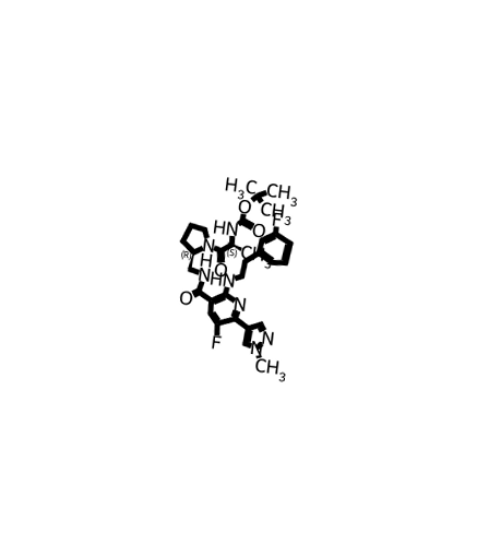 C[C@H](NC(=O)OC(C)(C)C)C(=O)N1CCC[C@@H]1CNC(=O)c1cc(F)c(-c2cnn(C)c2)nc1NCCc1cccc(F)c1